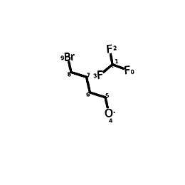 F[C](F)F.[O]CCCCBr